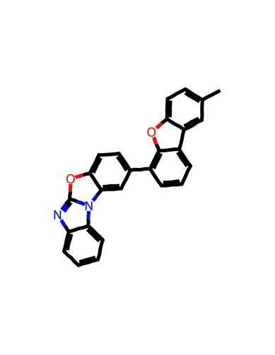 Cc1ccc2oc3c(-c4ccc5oc6nc7ccccc7n6c5c4)cccc3c2c1